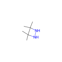 CC1(C)NNC1(C)C